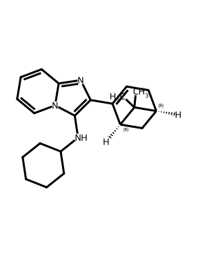 CC1(C)[C@H]2CC=C(c3nc4ccccn4c3NC3CCCCC3)[C@@H]1C2